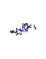 Cc1cc(Nc2cnc(C#N)cn2)ncn1